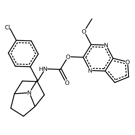 COc1nc2occc2nc1OC(=O)NC1CC2CCC(C1)N2Cc1ccc(Cl)cc1